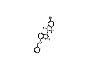 CC1(C)c2ccc(Br)cc2NC1c1c[nH]c2c(OCc3ccccc3)cccc12